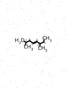 CCC(C)C=CCC(C)C